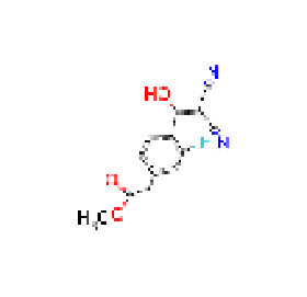 COC(=O)Cc1ccc(C(O)=C(C#N)C#N)c(F)c1